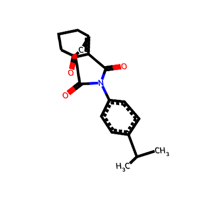 CC(C)c1ccc(N2C(=O)C3=C4CCC(C(=O)C4)C3C2=O)cc1